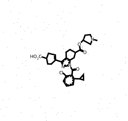 CN1CCC(OC(=O)C2CCc3c(C4=CCC(C(=O)O)CC4)nn(C(=O)c4c(Cl)cccc4C4CC4)c3C2)C1